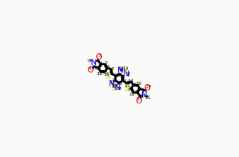 CN1C(=O)c2cc3cc(-c4c5c(c(-c6cc7cc8c(cc7s6)C(=O)N(C)C8=O)c6nsnc46)N=S=N5)sc3cc2C1=O